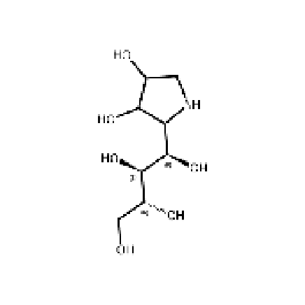 OC[C@@H](O)[C@@H](O)[C@H](O)C1NCC(O)C1O